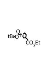 CCOC(=O)CC1CCN(C(=O)OC(C)(C)C)C1